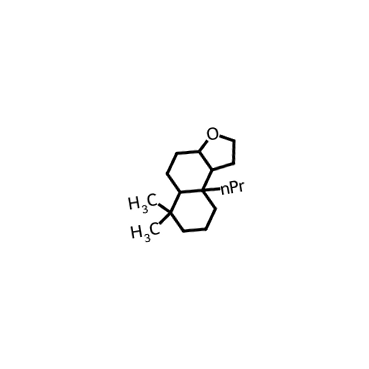 CCCC12CCCC(C)(C)C1CCC1OCCC12